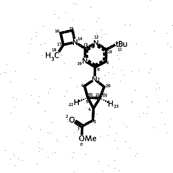 COC(=O)CC1[C@H]2CN(c3cc(C(C)(C)C)nc(N4CCC4C)n3)C[C@@H]12